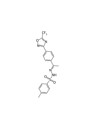 C/C(=N\NS(=O)(=O)c1ccc(C)cc1)c1ccc(-c2noc(C(F)(F)F)n2)cc1